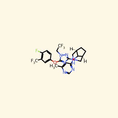 Cc1cc(N2C[C@H]3CC[C@@H](C2)C3Nc2nc(Oc3ccc(F)c(C(F)(F)F)c3)n(CC(F)(F)F)n2)ncn1